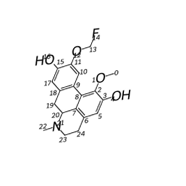 COc1c(O)cc2c3c1-c1cc(OCF)c(O)cc1CC3N(C)CC2